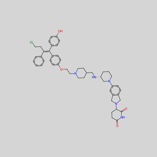 O=C1CCC(N2Cc3ccc(N4CCC[C@@H](NCC5CCN(CCOc6ccc(C(=C(CCCl)c7ccccc7)c7ccc(O)cc7)cc6)CC5)C4)cc3C2)C(=O)N1